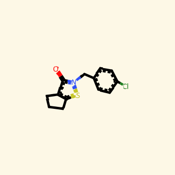 O=c1c2c(sn1Cc1ccc(Cl)cc1)CCC2